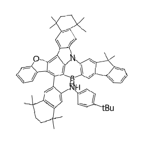 CC(C)(C)c1ccc(Nc2cc3c(cc2-c2c4c5c(c6cc7c(cc6n5-c5cc6c(cc5B4)-c4ccccc4C6(C)C)C(C)(C)CCC7(C)C)c4oc5ccccc5c24)C(C)(C)CCC3(C)C)cc1